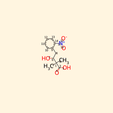 CC(C)(C(=O)O)C(O)Cc1ccccc1[N+](=O)[O-]